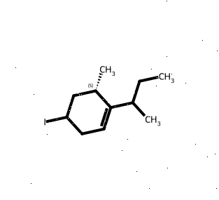 CCC(C)C1=CCC(I)C[C@@H]1C